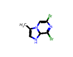 CC1=CNC2C(Br)=NC(Br)=CN12